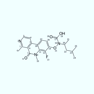 Cc1nccc2c1c(=O)n(C)c1c(F)c(ON(C(=O)O)C(C)CC(C)C)ccc21